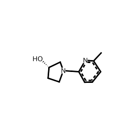 Cc1cccc(N2CC[C@H](O)C2)n1